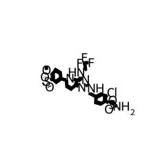 COc1ccc(-c2ccc3nc(NCc4ccc(S(N)(=O)=O)c(Cl)c4)nc(NCC(F)(F)F)c3n2)cc1S(C)(=O)=O